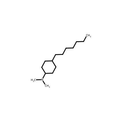 CCCCCCCC1CCC(N(C)C)CC1